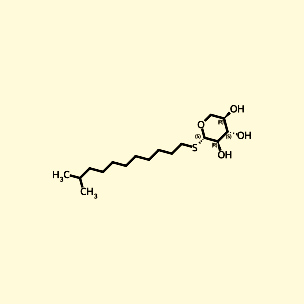 CC(C)CCCCCCCCCS[C@@H]1OC[C@@H](O)[C@H](O)[C@H]1O